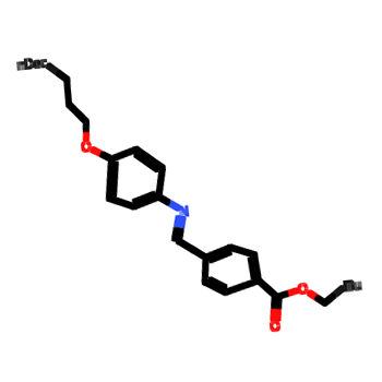 CCCCCCCCCCCCCOc1ccc(N=Cc2ccc(C(=O)OCC(C)CC)cc2)cc1